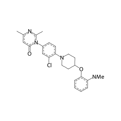 CNc1ccccc1OC1CCN(c2ccc(-n3c(C)nc(C)cc3=O)cc2Cl)CC1